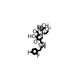 C=C1OCCN2[C@@H]1N(CC)C(=O)c1c(O)c(=O)c(-c3nnc(Cc4ccc(F)cc4F)s3)cn12